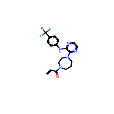 C=CC(=O)N1CCCN(c2nccnc2Nc2ccc(C(F)(F)F)cc2)CC1